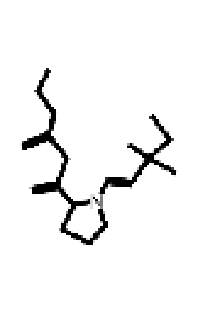 C=C(CCC)CC(=C)C1CCCN1/C=C/C(C)(C)CC